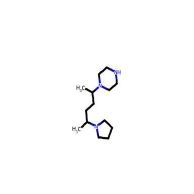 CC(CCC(C)N1CCNCC1)N1CCCC1